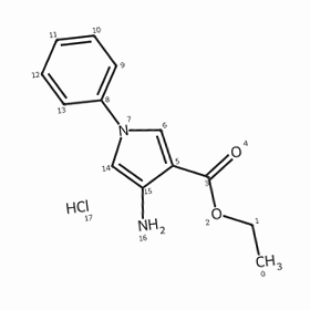 CCOC(=O)c1cn(-c2ccccc2)cc1N.Cl